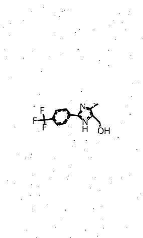 Cc1nc(-c2ccc(C(F)(F)F)cc2)[nH]c1CO